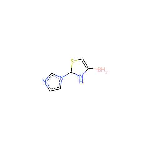 BC1=CSC(n2ccnc2)N1